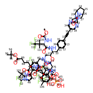 COC(=O)N[C@H](C(=O)N[C@@H](Cc1ccc(C#Cc2cnc(N3CC4CCC(C3)N4C3COC3)nc2)cc1)[C@H](CN(Cc1c(F)cc(-c2ccn(C(F)F)n2)cc1F)NC(=O)[C@@H](NC(=O)OC)C(C)(C)C(F)(F)F)OC(=O)CC(C)(C)c1c(CC(=O)NC(CCCC(=O)OC(C)(C)C)C(=O)OC(C)(C)C)cc(C)cc1OP(=O)(O)O)C(C)(C)C(F)(F)F